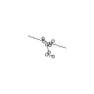 CCCCCCCCCC(=O)OCC(COC(=O)CCCCCCCCC)OC(=O)CCCOC(=O)C(C)COC